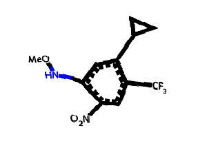 CONc1cc(C2CC2)c(C(F)(F)F)cc1[N+](=O)[O-]